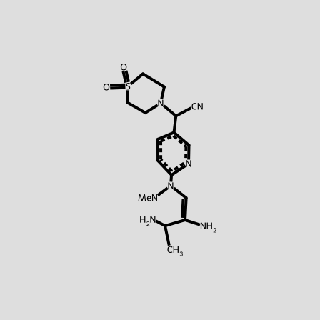 CNN(/C=C(/N)C(C)N)c1ccc(C(C#N)N2CCS(=O)(=O)CC2)cn1